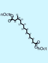 CCCCCCCCOC(=O)CCCCCCCCCCC(C)CC(=O)OCCCCCCCC